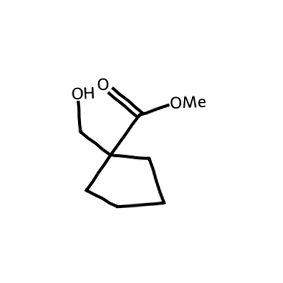 COC(=O)C1(CO)CCCC1